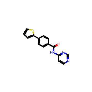 O=C(Nc1ccncn1)c1ccc(-c2cccs2)cc1